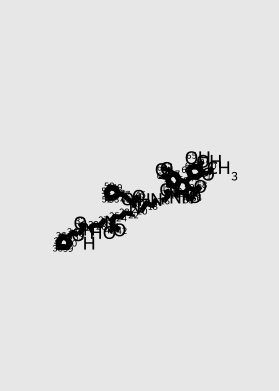 COc1cc(C2c3cc4c(cc3C(NC(=O)CNCCCN(CCCCN(CCCNC(=O)OCc3ccccc3)C(=O)O)C(=O)OCc3ccccc3)C3COC(=O)C23)COO4)cc(O)c1O